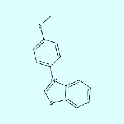 CSc1ccc(-[n+]2csc3ccccc32)cc1